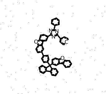 c1ccc(-c2nc(-c3ccccc3)nc(-c3ccc4oc5ccc(-c6ccc(C7(c8ccc9oc%10ccccc%10c9c8)c8ccccc8-c8ccccc87)cc6)cc5c4c3)n2)cc1